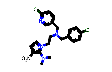 CN(C)c1c([N+](=O)[O-])ccn1CCN(Cc1ccc(Cl)cc1)Cc1ccc(Cl)nc1